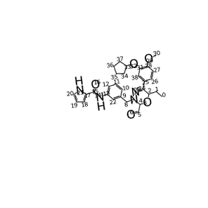 CCC1OC(C=O)N(Cc2cccc(NC(=O)c3ccc[nH]3)c2)N=C1c1ccc(OC)c(OC2CCCC2)c1